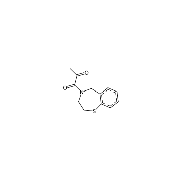 CC(=O)C(=O)N1CCSc2ccccc2C1